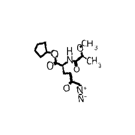 CO[C@@H](C)C(=O)N[C@@H](CCC(=O)C=[N+]=[N-])C(=O)OC1CCCC1